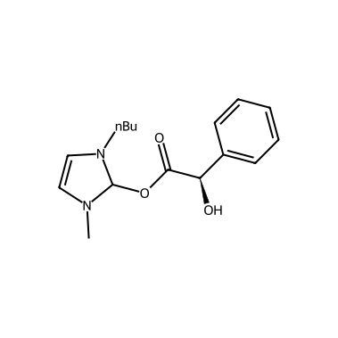 CCCCN1C=CN(C)C1OC(=O)[C@H](O)c1ccccc1